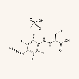 CS(=O)(=O)O.[N-]=[N+]=Nc1c(F)c(F)c(NN[C@@H](CS)C(=O)O)c(F)c1F